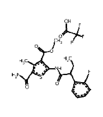 CCC(C(=O)Nc1sc(C(N)=O)c(C)c1C(=O)OC)c1ccccc1F.O=C(O)C(F)(F)F